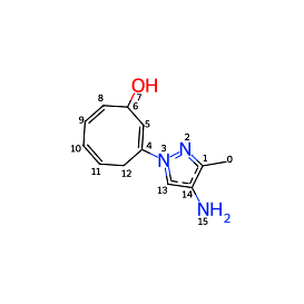 Cc1nn(/C2=C/C(O)C=CC=CC2)cc1N